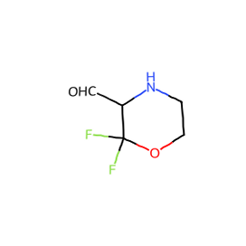 O=CC1NCCOC1(F)F